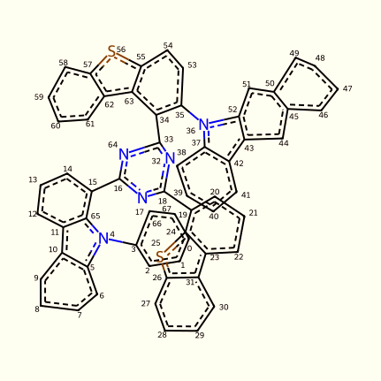 c1ccc(-n2c3ccccc3c3cccc(-c4nc(-c5cccc6c5sc5ccccc56)nc(-c5c(-n6c7ccccc7c7cc8ccccc8cc76)ccc6sc7ccccc7c56)n4)c32)cc1